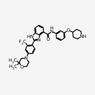 CC1(C)CN(c2ccc(-c3nc4c(C(=O)Nc5cccc(OC6CCNCC6)c5)cccc4[nH]3)c(C(F)(F)F)c2)CCO1